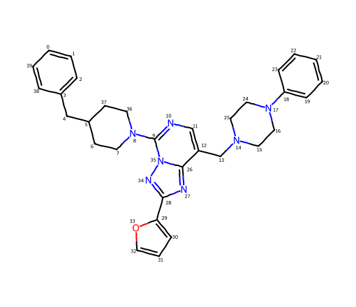 c1ccc(CC2CCN(c3ncc(CN4CCN(c5ccccc5)CC4)c4nc(-c5ccco5)nn34)CC2)cc1